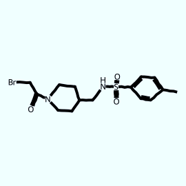 Cc1ccc(S(=O)(=O)NCC2CCN(C(=O)CBr)CC2)cc1